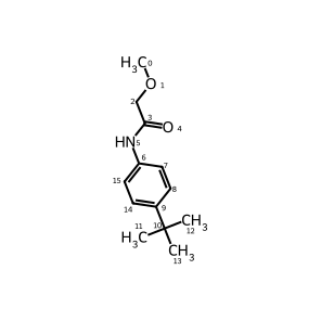 COCC(=O)Nc1ccc(C(C)(C)C)cc1